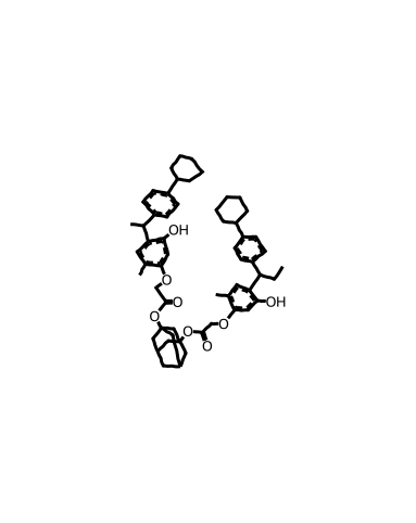 CCC(c1ccc(C2CCCCC2)cc1)c1cc(C)c(OCC(=O)OC23CC4CC(CC(OC(=O)COc5cc(O)c(C(C)c6ccc(C7CCCCC7)cc6)cc5C)(C4)C2)C3)cc1O